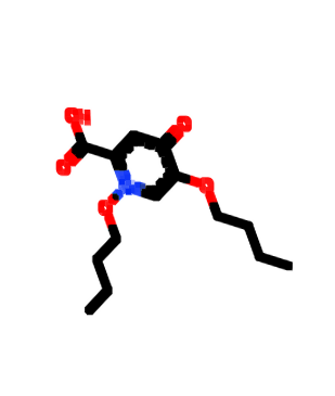 CCCCOc1cn(OCCCC)c(C(=O)O)cc1=O